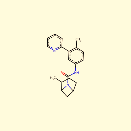 Cc1ccc(NC(=O)N2C3CCC(C)C2C3)cc1-c1ccccn1